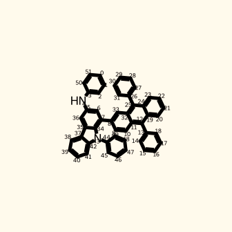 c1ccc(Nc2cc(-c3ccc4c(-c5ccccc5)c5ccccc5c(-c5ccccc5)c4c3)c3c(c2)c2ccccc2n3-c2ccccc2)cc1